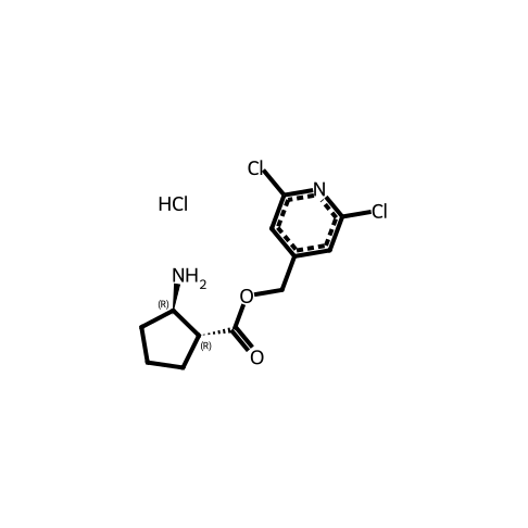 Cl.N[C@@H]1CCC[C@H]1C(=O)OCc1cc(Cl)nc(Cl)c1